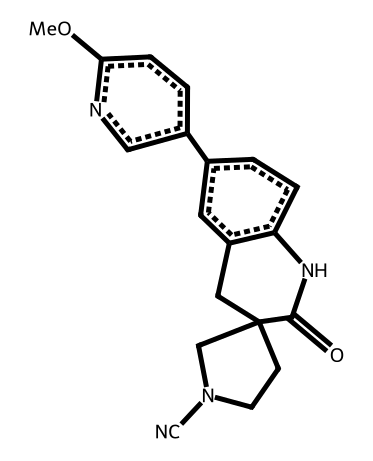 COc1ccc(-c2ccc3c(c2)CC2(CCN(C#N)C2)C(=O)N3)cn1